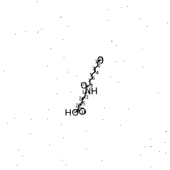 O=CCCCCCCCC(=O)NCCCCCC(=O)O